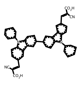 N#C/C(=C\c1ccc2c(c1)c1cc(-c3ccc4c(c3)c3cc(/C=C(\C#N)C(=O)O)ccc3n4-c3ccccc3)ccc1n2-c1ccccc1)C(=O)O